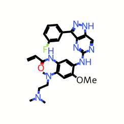 C=CC(=O)Nc1cc(Nc2ncc3[nH]nc(-c4cccc(F)c4)c3n2)c(OC)cc1N(C)CCN(C)C